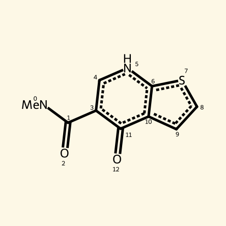 CNC(=O)c1c[nH]c2sccc2c1=O